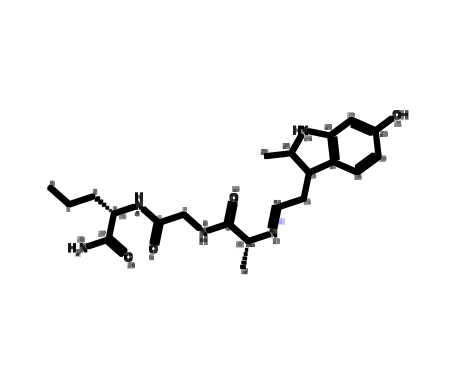 CCC[C@H](NC(=O)CNC(=O)[C@@H](C)/N=C/CC1c2ccc(O)cc2NC1C)C(N)=O